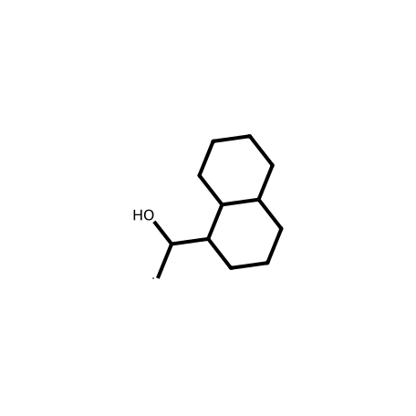 [CH2]C(O)C1CCCC2CCCCC21